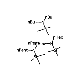 CCCCCCN(CCCCCC)[Si](C)(C)C.CCCCCN(CCCCC)[Si](C)(C)C.CCCCN(CCCC)[Si](C)(C)C